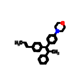 C/C=C/c1ccc(/C(=C(/C)c2ccccc2)c2ccc(N3CCOCC3)cc2)cc1